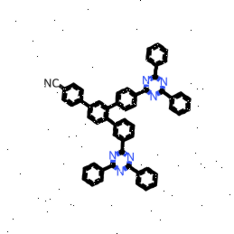 N#Cc1ccc(-c2ccc(-c3cccc(-c4nc(-c5ccccc5)nc(-c5ccccc5)n4)c3)c(-c3ccc(-c4nc(-c5ccccc5)nc(-c5ccccc5)n4)cc3)c2)cc1